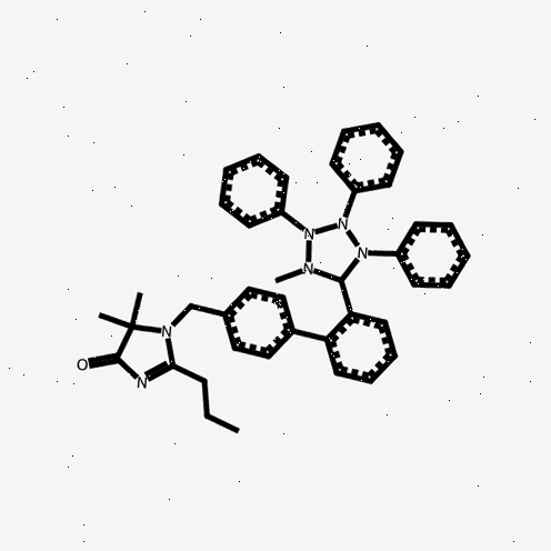 CCCC1=NC(=O)C(C)(C)N1Cc1ccc(-c2ccccc2C2N(C)N(c3ccccc3)N(c3ccccc3)N2c2ccccc2)cc1